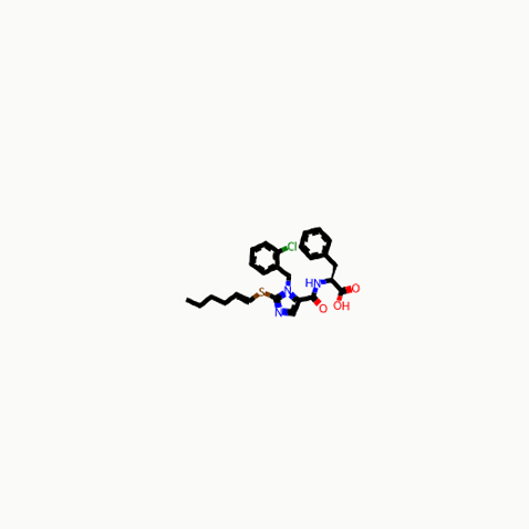 CCCCC=CSc1ncc(C(=O)N[C@@H](Cc2ccccc2)C(=O)O)n1Cc1ccccc1Cl